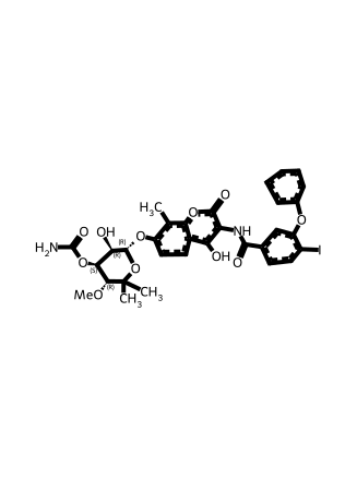 CO[C@@H]1[C@@H](OC(N)=O)[C@@H](O)[C@H](Oc2ccc3c(O)c(NC(=O)c4ccc(I)c(Oc5ccccc5)c4)c(=O)oc3c2C)OC1(C)C